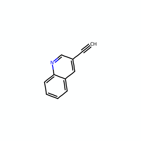 C#Cc1cnc2ccccc2c1